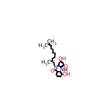 CC(C)=CCC/C=C/CC/C(C)=C/CN1C(=O)c2cccc(O)c2Nc2c(O)cc(O)cc21